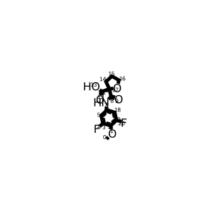 COc1c(F)cc(NC(=O)C2(C(=O)O)CCCO2)cc1F